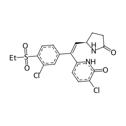 CCS(=O)(=O)c1ccc(/C(=C/[C@H]2CCC(=O)N2)c2ccc(Cl)c(=O)[nH]2)cc1Cl